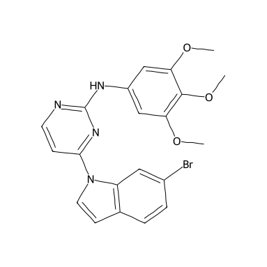 COc1cc(Nc2nccc(-n3ccc4ccc(Br)cc43)n2)cc(OC)c1OC